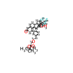 CC(C)(C)OC(=O)COCCc1ccc([C@H]2C[C@@]3(C)C(CC[C@@]3(O)C(F)(F)C(F)(F)F)C3CCC4=CC(=O)CCC4=C32)cc1